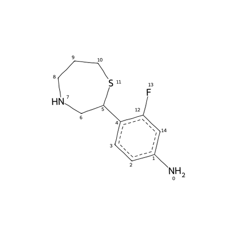 Nc1ccc(C2CNCCCS2)c(F)c1